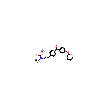 CN(CCCc1ccc(C(=O)c2ccc(OC3CCCCO3)cc2)cc1)C(=O)OC(C)(C)C